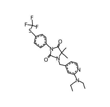 CCN(CC)c1cc(CN2C(=O)N(c3ccc(SC(F)(F)F)cc3)C(=O)C2(C)C)ccn1